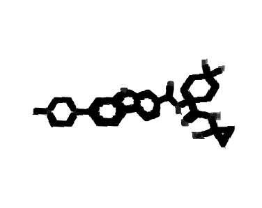 CN1CCN(c2ccc3c(c2)oc2cc(C(=O)NC4(C(=O)NC5(C#N)CC5)CCC(F)(F)CC4)ccc23)CC1